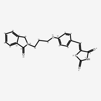 O=C1NC(=O)C(=Cc2ccc(OCCCN3Cc4ccccc4C3=O)cc2)S1